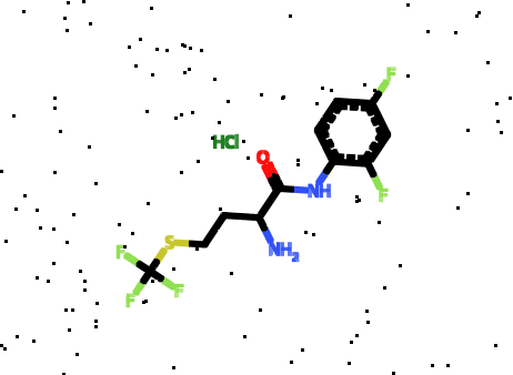 Cl.NC(CCSC(F)(F)F)C(=O)Nc1ccc(F)cc1F